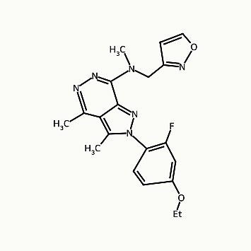 CCOc1ccc(-n2nc3c(N(C)Cc4ccon4)nnc(C)c3c2C)c(F)c1